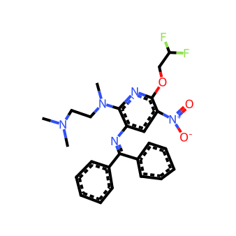 CN(C)CCN(C)c1nc(OCC(F)F)c([N+](=O)[O-])cc1N=C(c1ccccc1)c1ccccc1